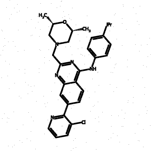 CC(C)c1ccc(Nc2nc(CN3C[C@@H](C)O[C@@H](C)C3)nc3cc(-c4ncccc4Cl)ccc23)cc1